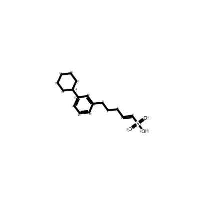 O=S(=O)(O)C=CCCCc1cccc(C2CCCCC2)c1